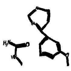 CNC(N)=O.COc1cccc(-c2ccncn2)c1